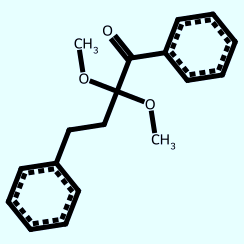 COC(CCc1ccccc1)(OC)C(=O)c1ccccc1